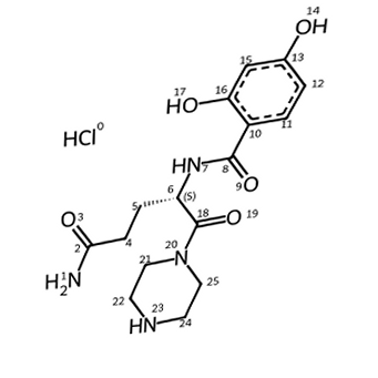 Cl.NC(=O)CC[C@H](NC(=O)c1ccc(O)cc1O)C(=O)N1CCNCC1